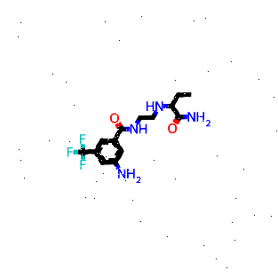 CCC(NCCNC(=O)c1cc(N)cc(C(F)(F)F)c1)C(N)=O